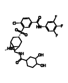 C[C@H]1CC2C[C@@H](S(=O)(=O)c3cc(C(=O)Nc4cc(F)c(F)c(F)c4)ccc3Cl)CC1[C@@]2(O)CNC(=O)C1CCC(O)C(O)C1